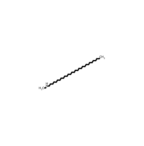 CCCCCCCCCCCCCCCCCCCCCCCCCCCCCCNCC